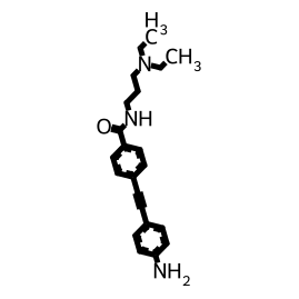 CCN(CC)CCCNC(=O)c1ccc(C#Cc2ccc(N)cc2)cc1